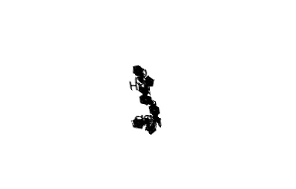 O=C([C@H]1CCCO1)N1CCC[C@H]1c1nc(-c2cccc(Oc3ccc(-c4cnc([C@@H]5CCCN5C(=O)[C@H]5CCCO5)[nH]4)cc3)c2)c[nH]1